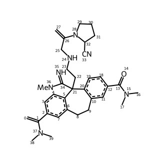 C=C(c1ccc2c(c1)CCc1cc(C(=O)N(C)C)ccc1C2(CCNCC(=C)N1CCCC1C#N)C(=N)NC)N(C)C